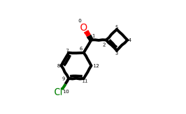 O=C(C1=CCC1)C1C=CC(Cl)=CC1